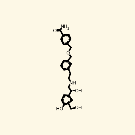 NC(=O)c1ccc(COCc2cccc(CCNC[C@@H](O)c3ccc(O)c(CO)c3)c2)cc1